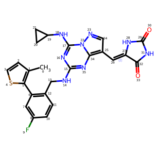 Cc1ccsc1-c1cc(F)ccc1CNc1nc(NC2CC2)n2ncc(/C=C3\NC(=O)NC3=O)c2n1